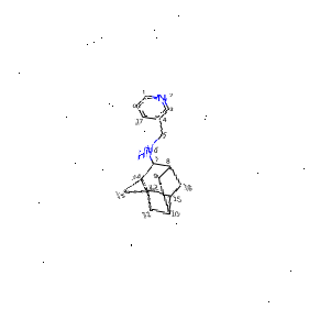 c1cncc(CNC2C3CC4CC5(CC25)C4C3)c1